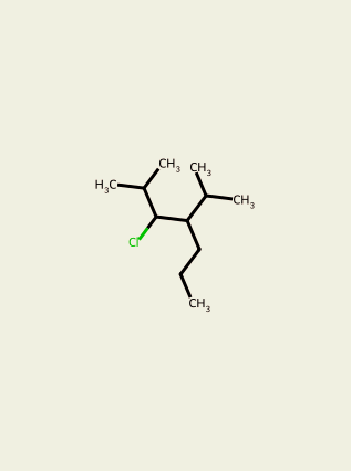 CCCC(C(C)C)C(Cl)C(C)C